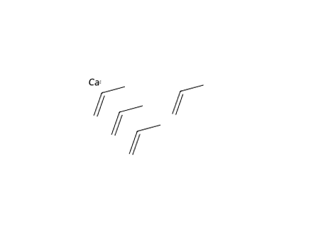 C=CC.C=CC.C=CC.C=CC.[Ca]